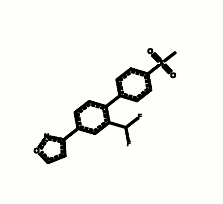 CS(=O)(=O)c1ccc(-c2ccc(-c3ccon3)cc2C(F)F)cc1